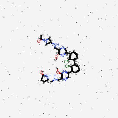 COc1nc(-c2cccc(-c3cccc(-c4cnc(CNC5CN(C(C)=O)C5)c(OC)n4)c3Cl)c2Cl)cnc1CNC[C@@H]1CCC(=O)N1